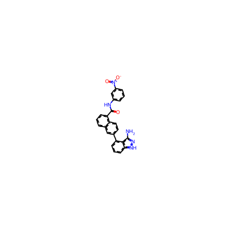 Nc1n[nH]c2cccc(-c3ccc4c(C(=O)Nc5cccc([N+](=O)[O-])c5)cccc4c3)c12